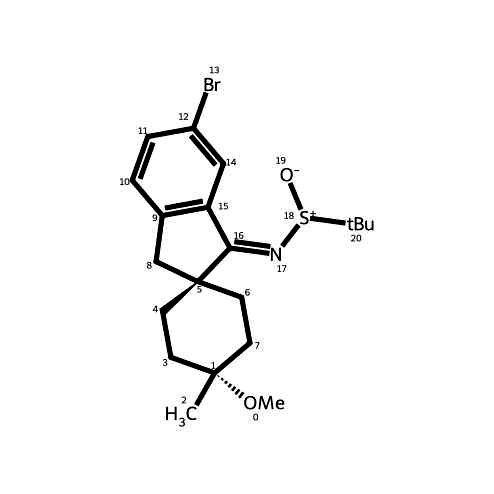 CO[C@]1(C)CC[C@@]2(CC1)Cc1ccc(Br)cc1C2=N[S+]([O-])C(C)(C)C